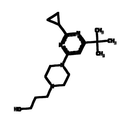 CC(C)(C)c1cc(N2CCN(CCCO)CC2)nc(C2CC2)n1